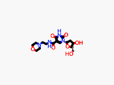 O=C(NCCN1CCOCC1)c1cn([C@@H]2CC(O)[C@H](CO)O2)c(=O)[nH]c1=O